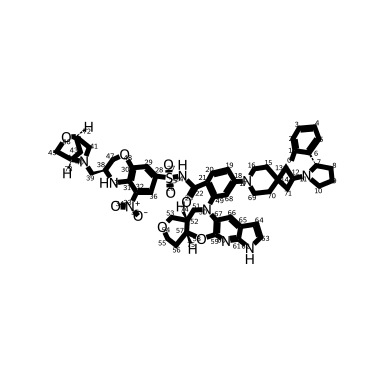 Cc1ccccc1[C@@H]1CCCN1C1CC2(CCN(c3ccc(C(=O)NS(=O)(=O)c4cc5c(c([N+](=O)[O-])c4)N[C@@H](CN4C[C@H]6C[C@@H]4CO6)CO5)c(N4C[C@H]5COCC[C@H]5Oc5nc6[nH]ccc6cc54)c3)CC2)C1